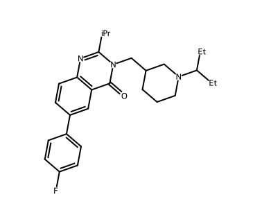 CCC(CC)N1CCCC(Cn2c(C(C)C)nc3ccc(-c4ccc(F)cc4)cc3c2=O)C1